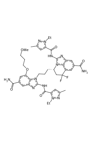 CCn1nc(C)cc1C(=O)Nc1nc2cc(C(N)=O)cc(OCCCOC)c2n1CCC[C@H]1CC(F)(F)c2cc(C(N)=O)cc3nc(NC(=O)c4cc(C)nn4CC)n1c23